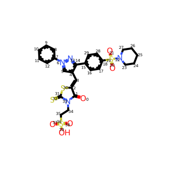 O=C1C(=Cc2cn(-c3ccccc3)nc2-c2ccc(S(=O)(=O)N3CCCCC3)cc2)SC(=S)N1CCS(=O)(=O)O